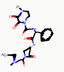 CCN1CCN(C(=O)NC(C(=O)N[C@H]2CN(C(=O)N(C)CC(=O)O)C2=O)c2ccccc2)C(=O)C1=O